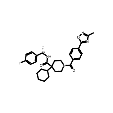 Cc1noc(-c2ccc(C(=O)N3CCC(C(=O)N[C@@H](C)c4ccc(F)cc4)(C4CCCCC4)CC3)cc2)n1